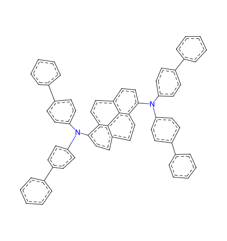 c1ccc(-c2ccc(N(c3ccc(-c4ccccc4)cc3)c3ccc4ccc5c(N(c6ccc(-c7ccccc7)cc6)c6ccc(-c7ccccc7)cc6)ccc6ccc3c4c65)cc2)cc1